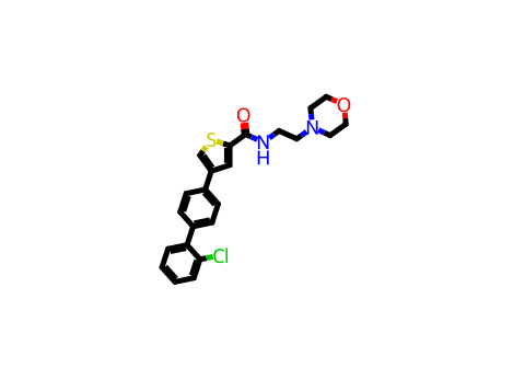 O=C(NCCN1CCOCC1)c1cc(-c2ccc(-c3ccccc3Cl)cc2)cs1